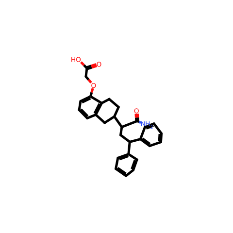 NC(=O)C(CC(c1ccccc1)c1ccccc1)C1CCc2c(cccc2OCC(=O)O)C1